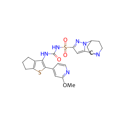 COc1cc(-c2sc3c(c2NC(=O)NS(=O)(=O)c2cc4n(n2)C2CCN(CC2)C4)CCC3)ccn1